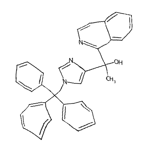 CC(O)(c1cn(C(c2ccccc2)(c2ccccc2)c2ccccc2)cn1)c1nccc2ccccc12